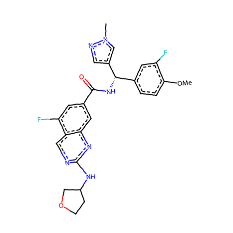 COc1ccc([C@H](NC(=O)c2cc(F)c3cnc(NC4CCOC4)nc3c2)c2cnn(C)c2)cc1F